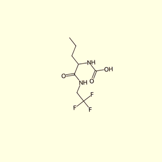 CCCC(NC(=O)O)C(=O)NCC(F)(F)F